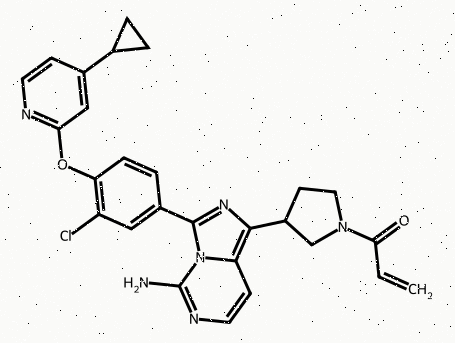 C=CC(=O)N1CCC(c2nc(-c3ccc(Oc4cc(C5CC5)ccn4)c(Cl)c3)n3c(N)nccc23)C1